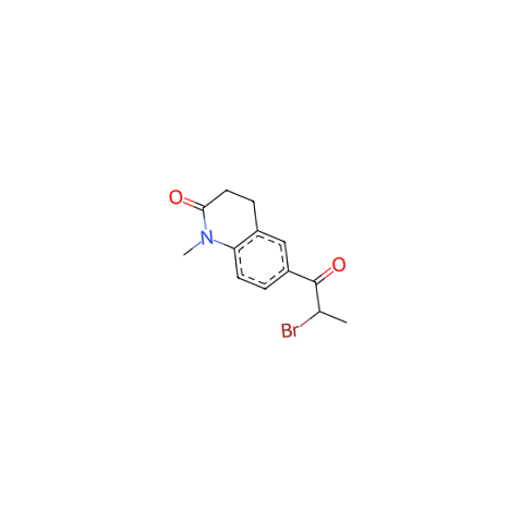 CC(Br)C(=O)c1ccc2c(c1)CCC(=O)N2C